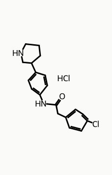 Cl.O=C(Cc1ccc(Cl)cc1)Nc1ccc(C2CCCNC2)cc1